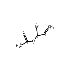 C=CC(Br)OC(C)=O